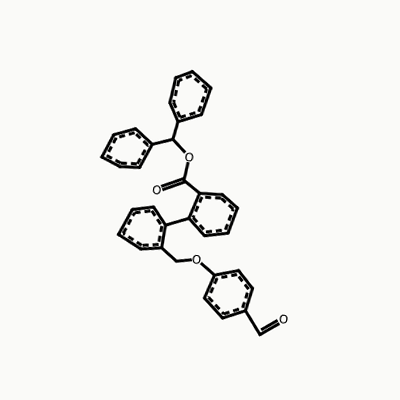 O=Cc1ccc(OCc2ccccc2-c2ccccc2C(=O)OC(c2ccccc2)c2ccccc2)cc1